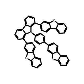 c1ccc2c(c1)oc1cc(-c3cccc4c5cccc(-c6ccc7c(c6)oc6ccccc67)c5n(-c5ccc(-c6ccc7c(c6)sc6ccccc67)cc5)c34)ccc12